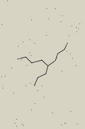 CCCCC(CCC)CCCC